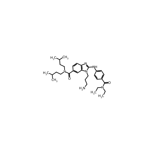 CCN(CC)C(=O)c1ccc(Nc2nc3ccc(C(=O)N(CCC(C)C)CCC(C)C)cc3n2CCCN)cc1